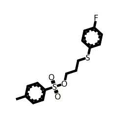 Cc1ccc(S(=O)(=O)OCCCSc2ccc(F)cc2)cc1